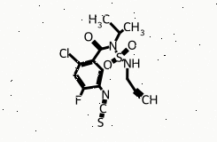 C#CCNS(=O)(=O)N(C(=O)c1cc(N=C=S)c(F)cc1Cl)C(C)C